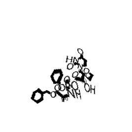 C[C@H](NP(=O)(Oc1ccccc1)OC1O[C@@H](n2ccc(=O)[nH]c2=O)[C@@]2(CCO2)[C@@H]1O)C(=O)OCc1ccccc1